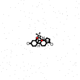 C[C@]12CC[C@H]3[C@@H](CC=C4CC(=O)CCC43C(C#N)O[Si](C)(C)C)[C@@H]1CCC2=O